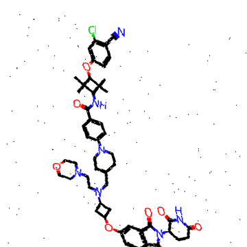 CC1(C)C(NC(=O)c2ccc(N3CCC(CN(CCN4CCOCC4)C4CC(Oc5ccc6c(c5)C(=O)N([C@@H]5CCC(=O)NC5=O)C6=O)C4)CC3)cc2)C(C)(C)C1Oc1ccc(C#N)c(Cl)c1